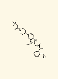 C=C(c1ccccc1C=O)N(C)Cc1nc2ccc(C3CCN(C(=C)CC(C)(C)C)CC3)cc2n1CC